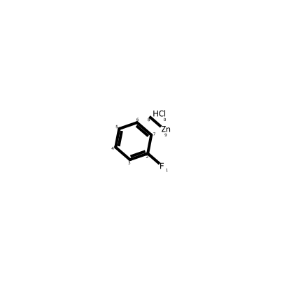 Cl.Fc1ccccc1.[CH3][Zn]